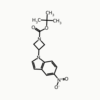 CC(C)(C)OC(=O)N1CC(n2ccc3cc([N+](=O)[O-])ccc32)C1